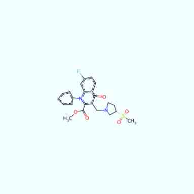 COC(=O)c1c(CN2CC[C@H](S(C)(=O)=O)C2)c(=O)c2ccc(F)cc2n1-c1ccccc1